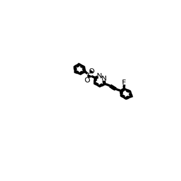 O=S(=O)(c1ccccc1)c1ccc(C#Cc2ccccc2F)nn1